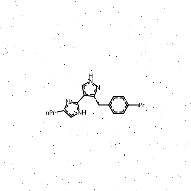 CCCc1c[nH]c(-c2c[nH]nc2Cc2ccc(C(C)C)cc2)n1